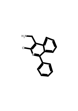 NCc1c(Cl)nc(-c2ccccc2)c2ccccc12